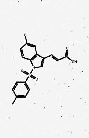 Cc1ccc(S(=O)(=O)n2cc(C=CC(=O)O)c3cc(F)ccc32)cc1